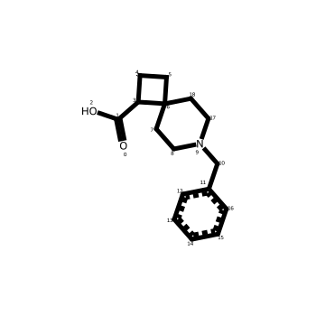 O=C(O)C1[CH]CC12CCN(Cc1ccccc1)CC2